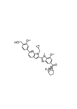 COc1cc(-c2ccc3cc(-c4nc5cc(C(=O)N6CC7CCC6[C@@H]7N)cc(OC)c5n4C)n(CC4CC4)c3n2)ccc1CO